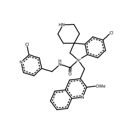 COc1nc2ccccc2cc1C[N+]1(C(=O)NCc2ccnc(Cl)c2)CC2(CCNCC2)c2cc(Cl)ccc21